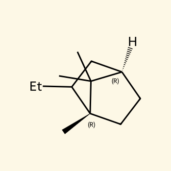 [CH2]CC1C[C@H]2CC[C@@]1(C)C2(C)C